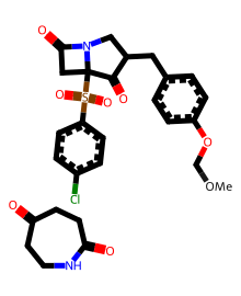 COCOc1ccc(CC2CN3C(=O)CC3(S(=O)(=O)c3ccc(Cl)cc3)C2=O)cc1.O=C1CCNC(=O)CC1